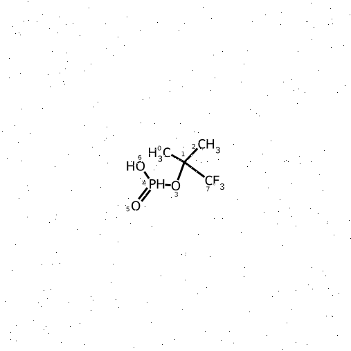 CC(C)(O[PH](=O)O)C(F)(F)F